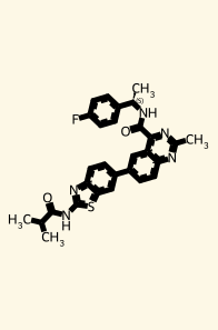 Cc1nc(C(=O)N[C@@H](C)c2ccc(F)cc2)c2cc(-c3ccc4nc(NC(=O)C(C)C)sc4c3)ccc2n1